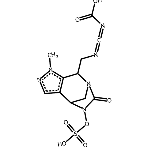 Cn1ncc2c1C(CN=C=NC(=O)O)N1CC2N(OS(=O)(=O)O)C1=O